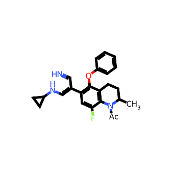 CC(=O)N1c2c(F)cc(/C(C=N)=C/NC3CC3)c(Oc3ccccc3)c2CCC1C